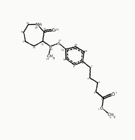 COC(=O)CCCCc1ccc(SN(C)C2CCCCNC2=O)cc1